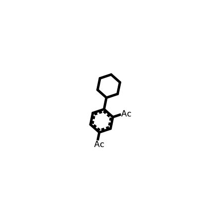 CC(=O)c1ccc(C2CCCCC2)c(C(C)=O)c1